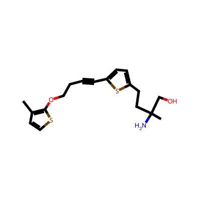 Cc1ccsc1OCCC#Cc1ccc(CCC(C)(N)CO)s1